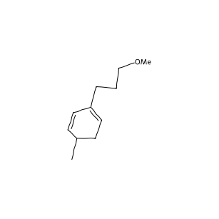 COCCCC1=CCC(C)C=C1